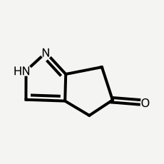 O=C1Cc2c[nH]nc2C1